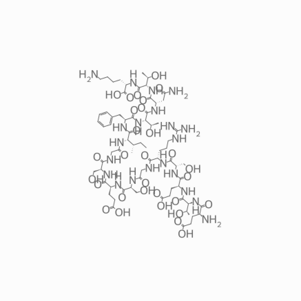 CC[C@H](C)[C@H](NC(=O)CNC(=O)[C@H](CO)NC(=O)[C@H](CCC(=O)O)NC(=O)[C@H](CO)NC(=O)CNC(=O)[C@H](CCCNC(=N)N)NC(=O)[C@H](CO)NC(=O)[C@H](CCC(=O)O)NC(=O)[C@@H](NC(=O)[C@@H](N)CCC(=O)O)[C@@H](C)O)C(=O)N[C@@H](Cc1ccccc1)C(=O)N[C@H](C(=O)N[C@@H](CC(N)=O)C(=O)N[C@H](C(=O)N[C@@H](CCCCN)C(=O)O)[C@@H](C)O)[C@@H](C)O